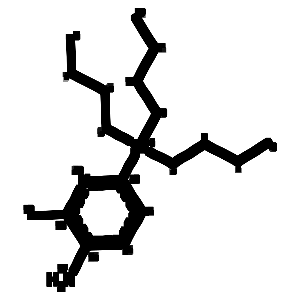 CCC[CH2][Sn]([CH2]CCC)([CH2]CCC)[c]1ccc(N)c(C)n1